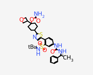 C[C@H](NC(=O)Nc1ccc(-c2cnc(C3CCC(OC(N)=O)(C4COC4)CC3)s2)c(S(=O)(=O)NC(C)(C)C)c1)c1ccccc1